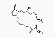 CC/C=C\C[C@H](O)C/C=C1/C(=O)C=C[C@@H]1C/C=C\CCCC(=O)NC